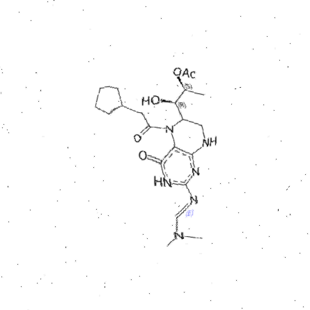 CC(=O)O[C@@H](C)[C@H](O)C1CNc2nc(/N=C/N(C)C)[nH]c(=O)c2N1C(=O)CC1CCCC1